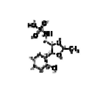 CC1OC(CNS(=O)(=O)O)C(c2ccccc2Cl)O1